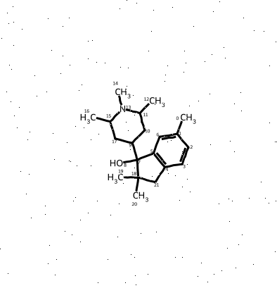 Cc1ccc2c(c1)C(O)(C1CC(C)N(C)C(C)C1)C(C)(C)C2